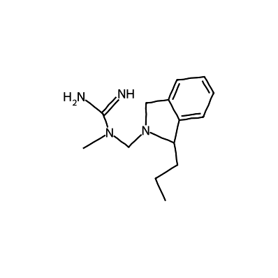 CCCC1c2ccccc2CN1CN(C)C(=N)N